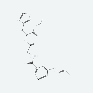 CCOC(=O)C(Cc1ccoc1)NC(=O)CNC(=O)c1cccc(NC=NN)c1